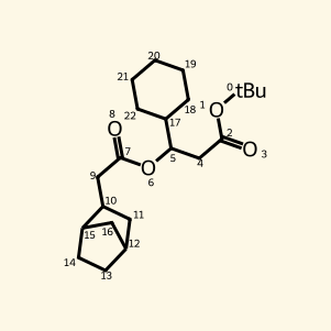 CC(C)(C)OC(=O)CC(OC(=O)CC1CC2CCC1C2)C1CCCCC1